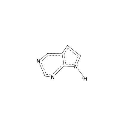 [2H]n1ccc2cncnc21